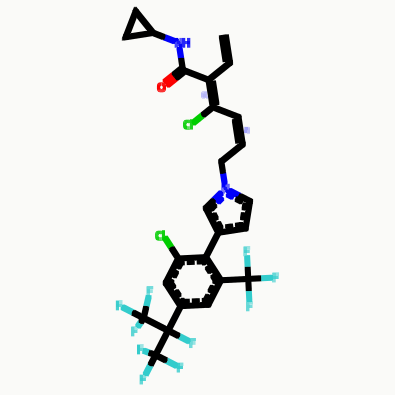 C=C/C(C(=O)NC1CC1)=C(Cl)\C=C/Cn1ccc(-c2c(Cl)cc(C(F)(C(F)(F)F)C(F)(F)F)cc2C(F)(F)F)c1